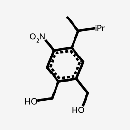 CC(C)C(C)c1cc(CO)c(CO)cc1[N+](=O)[O-]